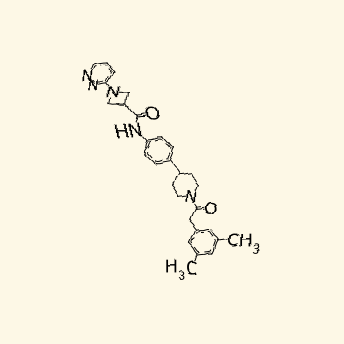 Cc1cc(C)cc(CC(=O)N2CCC(c3ccc(NC(=O)C4CN(c5cccnn5)C4)cc3)CC2)c1